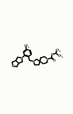 O=C(OC(C(F)(F)F)C(F)(F)F)N1CCC2(CCN(Cc3ccc(C(F)(F)F)cc3N3CC4COCC4C3)C2)CC1